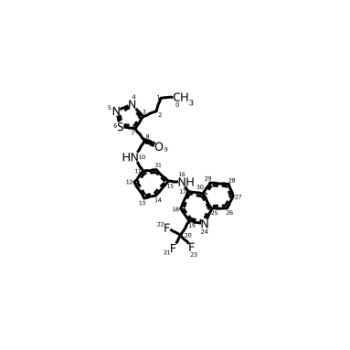 CCCc1nnsc1C(=O)Nc1cccc(Nc2cc(C(F)(F)F)nc3ccccc23)c1